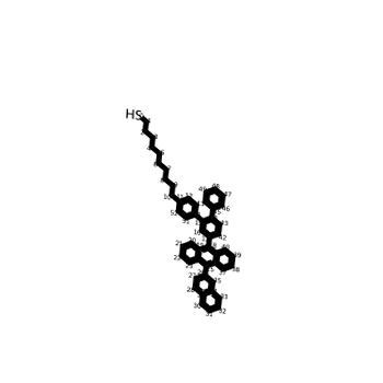 SCCCCCCCCCCc1ccc(-c2cc(-c3c4ccccc4c(-c4ccc5ccccc5c4)c4ccccc34)ccc2-c2ccccc2)cc1